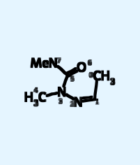 C/C=N\N(C)C(=O)NC